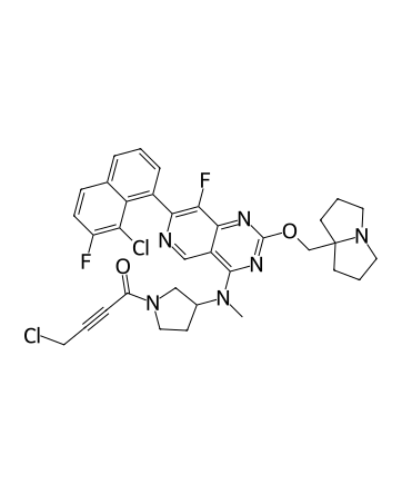 CN(c1nc(OCC23CCCN2CCC3)nc2c(F)c(-c3cccc4ccc(F)c(Cl)c34)ncc12)C1CCN(C(=O)C#CCCl)C1